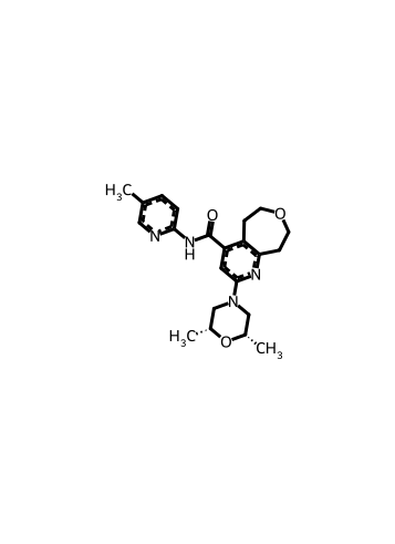 Cc1ccc(NC(=O)c2cc(N3C[C@@H](C)O[C@@H](C)C3)nc3c2CCOCC3)nc1